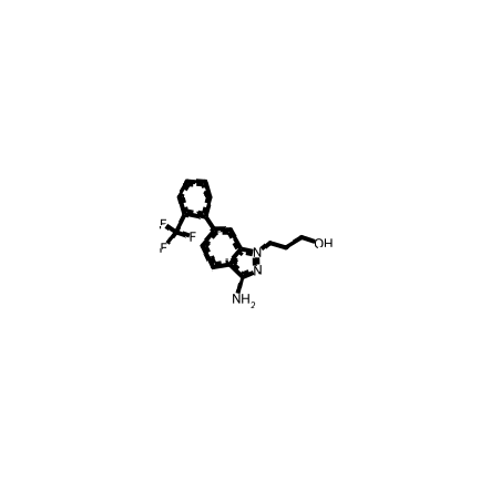 Nc1nn(CCCO)c2cc(-c3ccccc3C(F)(F)F)ccc12